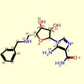 NC(=O)c1ncn(C2O[C@H](CNCc3ccccc3)[C@@H](O)[C@H]2O)c1N